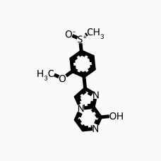 COc1cc([S+](C)[O-])ccc1-c1cn2ccnc(O)c2n1